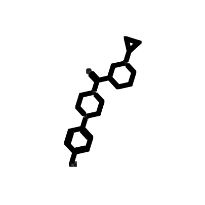 N#Cc1ccc(N2CCN(C(=O)C3CCCN(C4CC4)C3)CC2)cc1